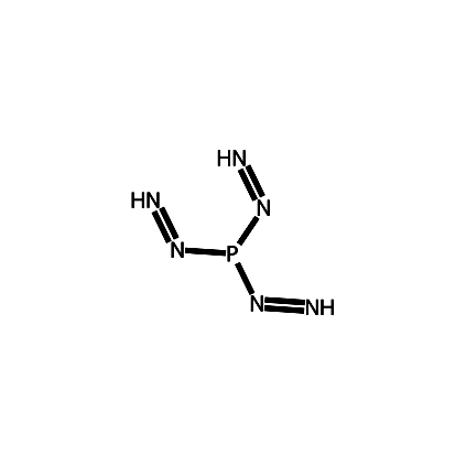 N=NP(N=N)N=N